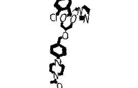 CC(=O)N1CCN(c2ccc(CO[C@H]3CO[C@](Cn4ccnc4)(c4ccccc4Cl)OC3)cc2)CC1